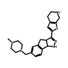 CN1CCN(Cc2ccc3c(c2)CC2C(c4cc5c(s4)CNCC5)=NNC32)CC1